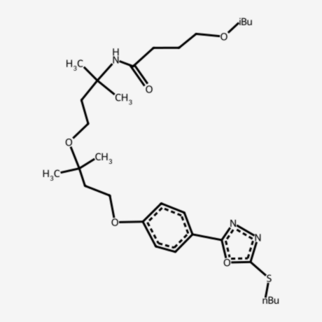 CCCCSc1nnc(-c2ccc(OCCC(C)(C)OCCC(C)(C)NC(=O)CCCOC(C)CC)cc2)o1